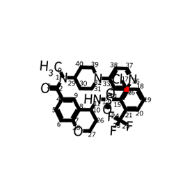 CN(C(=O)c1ccc2c(c1)C(NS(=O)(=O)c1c(Cl)cccc1C(F)(F)F)CCO2)C1CCN(c2ccncc2)CC1